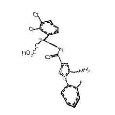 Nc1cc(C(=O)N[C@@H](CC(=O)O)c2cccc(Cl)c2Cl)nn1-c1ccccc1F